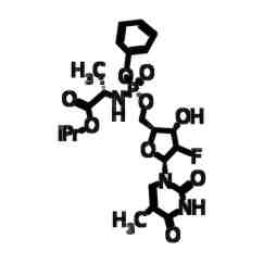 Cc1cn([C@H]2O[C@@H](COP(=O)(N[C@@H](C)C(=O)OC(C)C)Oc3ccccc3)[C@@H](O)C2F)c(=O)[nH]c1=O